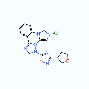 ClN1C=C2N(C1)c1ccccc1C1=NCN(c3nc(C4CCOC4)no3)N21